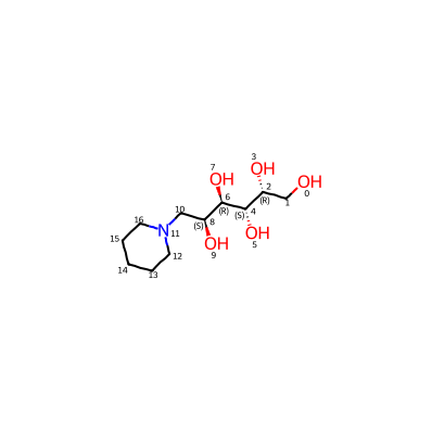 OC[C@@H](O)[C@H](O)[C@H](O)[C@@H](O)CN1CCCCC1